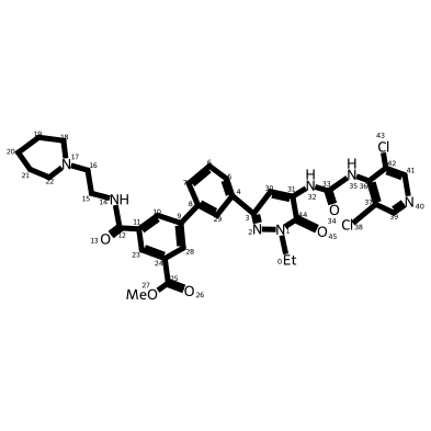 CCn1nc(-c2cccc(-c3cc(C(=O)NCCN4CCCCC4)cc(C(=O)OC)c3)c2)cc(NC(=O)Nc2c(Cl)cncc2Cl)c1=O